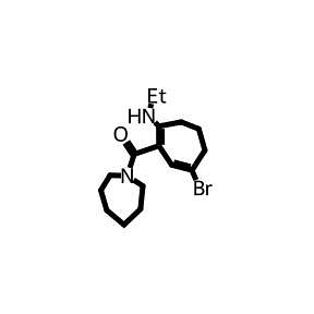 CCNC1=C(C(=O)N2CCCCCC2)C=C(Br)CCC1